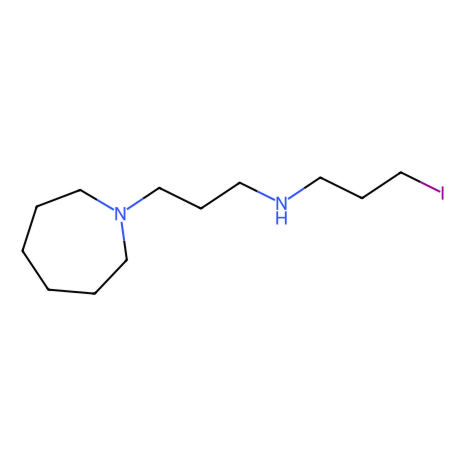 ICCCNCCCN1CCCCCC1